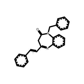 O=C1CC(/C=C/c2ccccc2)=Nc2ccccc2N1Cc1ccccc1